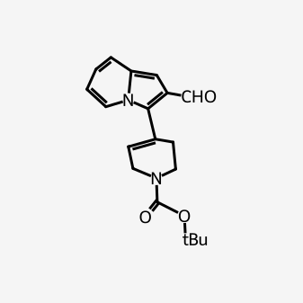 CC(C)(C)OC(=O)N1CC=C(c2c(C=O)cc3ccccn23)CC1